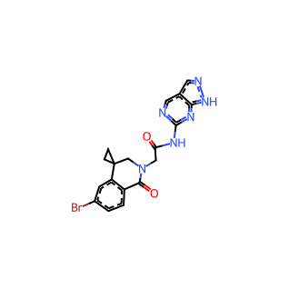 O=C(CN1CC2(CC2)c2cc(Br)ccc2C1=O)Nc1ncc2cn[nH]c2n1